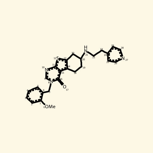 COc1ccccc1Cn1cnc2sc3c(c2c1=O)CCC(NCCc1ccncc1)C3